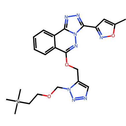 Cc1cc(-c2nnc3c4ccccc4c(OCc4cnnn4COCC[Si](C)(C)C)nn23)no1